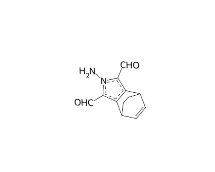 Nn1c(C=O)c2c(c1C=O)C1C=CC2CC1